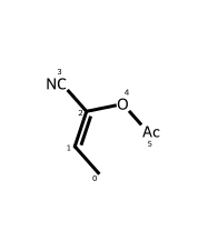 CC=C(C#N)OC(C)=O